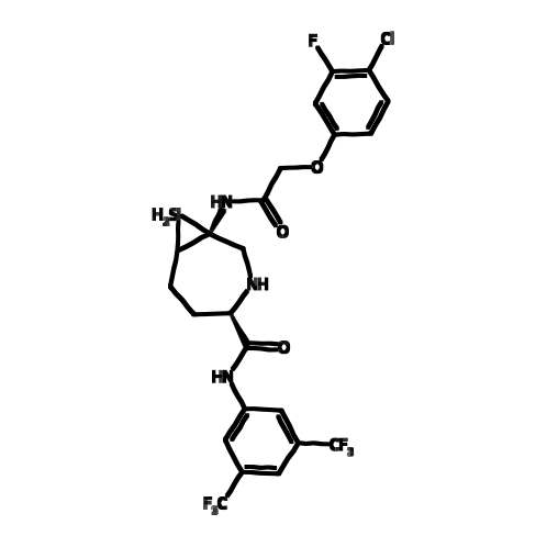 O=C(COc1ccc(Cl)c(F)c1)N[C@@]12CN[C@@H](C(=O)Nc3cc(C(F)(F)F)cc(C(F)(F)F)c3)CCC1[SiH2]2